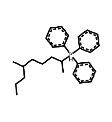 CCCC(C)CCCC(C)[PH](c1ccccc1)(c1ccccc1)c1ccccc1